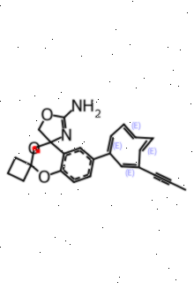 CC#CC1=C/C(c2ccc3c(c2)C2(COC(N)=N2)C2(COC2)C2(CCC2)O3)=C\C=C\C=C\1